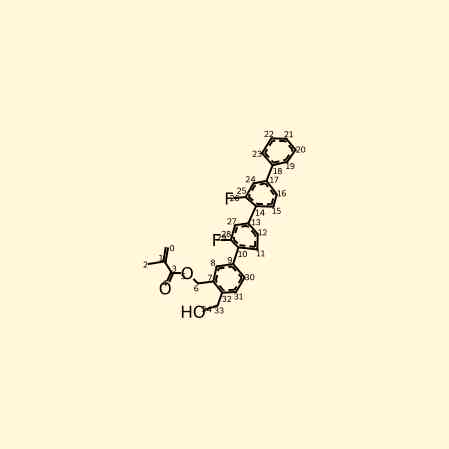 C=C(C)C(=O)OCc1cc(-c2ccc(-c3ccc(-c4ccccc4)cc3F)cc2F)ccc1CO